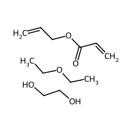 C=CCOC(=O)C=C.CCOCC.OCCO